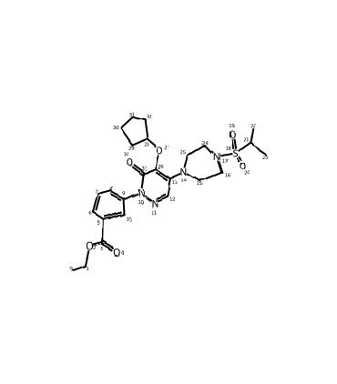 CCOC(=O)c1cccc(-n2ncc(N3CCN(S(=O)(=O)C(C)C)CC3)c(OC3CCCC3)c2=O)c1